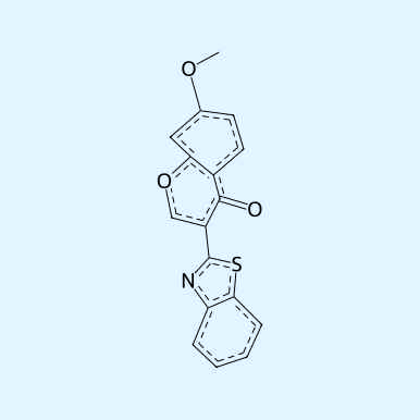 COc1ccc2c(=O)c(-c3nc4ccccc4s3)coc2c1